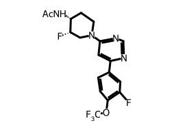 CC(=O)N[C@@H]1CCN(c2cc(-c3ccc(OC(F)(F)F)c(F)c3)ncn2)C[C@@H]1F